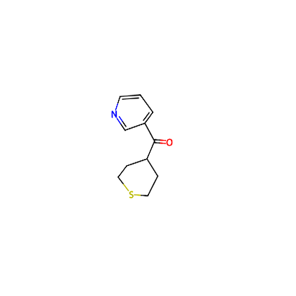 O=C(c1cccnc1)C1CCSCC1